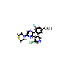 COc1ccc(-c2ncc(N3CCSCC3)nc2-c2ccncc2Cl)c(F)c1